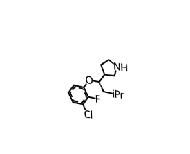 CC(C)C[C@@H](Oc1cccc(Cl)c1F)C1CCNC1